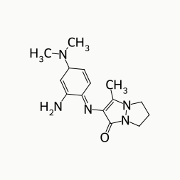 Cc1c(/N=C2\C=CC(N(C)C)C=C2N)c(=O)n2n1CCC2